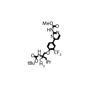 COC(=O)Nc1nccc(-c2ccc(OCC(C)(CC(C)C)NC(=O)OC(C)(C)C)c(C(F)(F)F)c2)n1